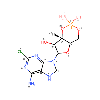 B[PH]1(O)OCC2OC(N3CNc4c(N)nc(Cl)nc43)C(O)[C@@H]2O1